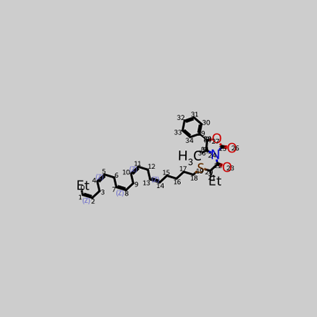 CC/C=C\C/C=C\C/C=C\C/C=C\C/C=C\CCCCSC(CC)C(=O)N1C(=O)O[C@H](c2ccccc2)[C@@H]1C